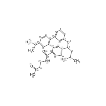 CC(C)CC(Oc1cccc(-c2ccc(C(C)C)cc2)c1)c1ccc(C(=O)NCCC(=O)O)cc1